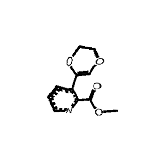 COC(=O)c1ncccc1C1=COCCO1